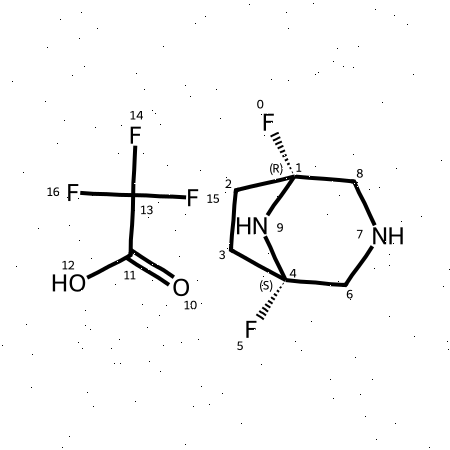 F[C@]12CC[C@](F)(CNC1)N2.O=C(O)C(F)(F)F